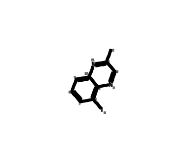 Cc1cnc2c(I)c[c]cc2n1